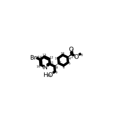 COC(=O)[C@H]1CC[C@H](C(CO)c2ccc(Br)cn2)CC1